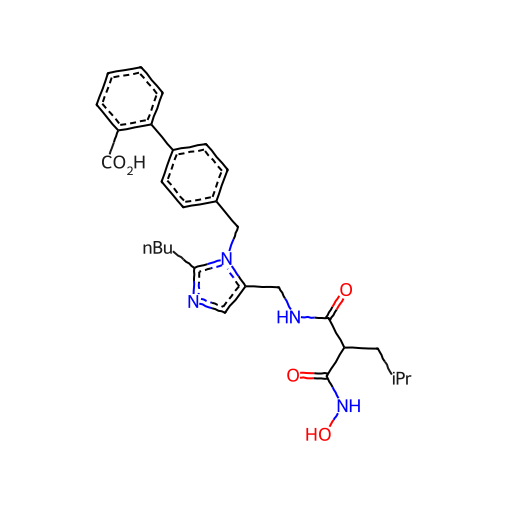 CCCCc1ncc(CNC(=O)C(CC(C)C)C(=O)NO)n1Cc1ccc(-c2ccccc2C(=O)O)cc1